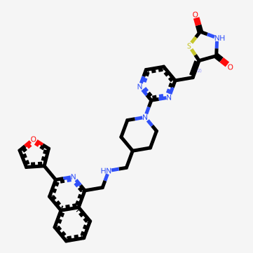 O=C1NC(=O)/C(=C/c2ccnc(N3CCC(CNCc4nc(-c5ccoc5)cc5ccccc45)CC3)n2)S1